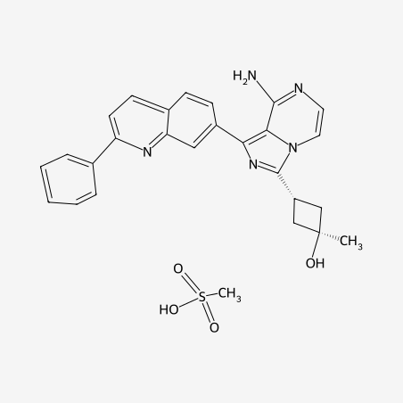 CS(=O)(=O)O.C[C@]1(O)C[C@H](c2nc(-c3ccc4ccc(-c5ccccc5)nc4c3)c3c(N)nccn32)C1